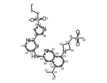 CCCS(=O)(=O)n1cc(-c2nccc(Nc3cc4c(C(C)C)ccc(N5CC(CS(C)(=O)=O)C5)c4cn3)n2)cn1